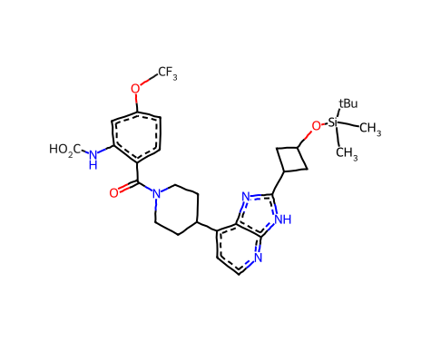 CC(C)(C)[Si](C)(C)OC1CC(c2nc3c(C4CCN(C(=O)c5ccc(OC(F)(F)F)cc5NC(=O)O)CC4)ccnc3[nH]2)C1